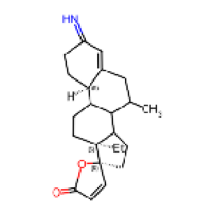 CC[C@]12CCC3C(C(C)CC4=CC(=N)CC[C@@H]43)C1CC[C@@]21C=CC(=O)O1